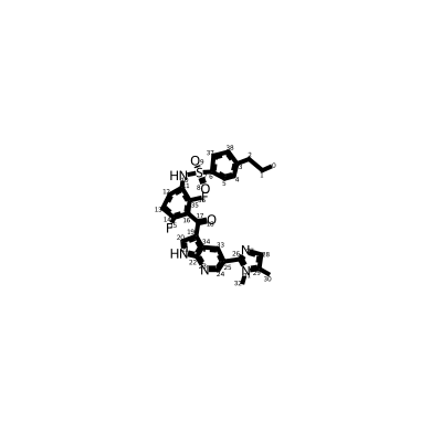 CCCc1ccc(S(=O)(=O)Nc2ccc(F)c(C(=O)c3c[nH]c4ncc(-c5ncc(C)n5C)cc34)c2F)cc1